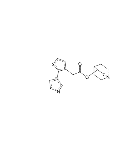 O=C(Cc1ccsc1-n1ccnc1)OC1CN2CCC1CC2